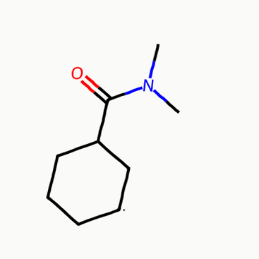 CN(C)C(=O)C1C[CH]CCC1